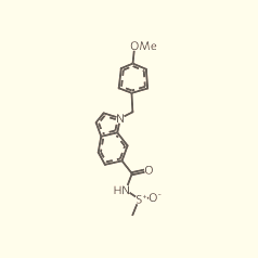 COc1ccc(Cn2ccc3ccc(C(=O)N[S+](C)[O-])cc32)cc1